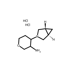 Cl.Cl.NC1COCCC1N1C[C@@H]2C[C@H]2C1